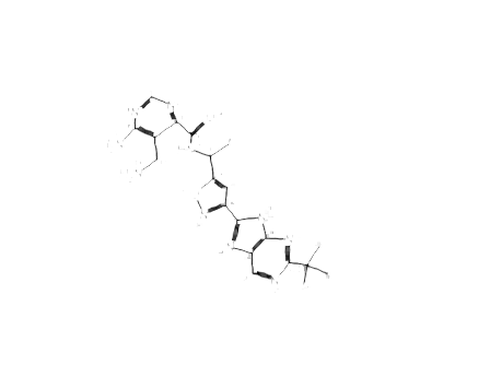 CC(NC(=O)c1ncnc(N)c1CN)c1cc(-c2nc3cnc(C(C)(C)C)nc3[nH]2)no1